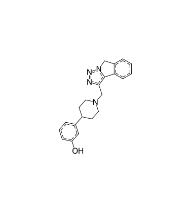 Oc1cccc(C2CCN(Cc3nnn4c3-c3ccccc3C4)CC2)c1